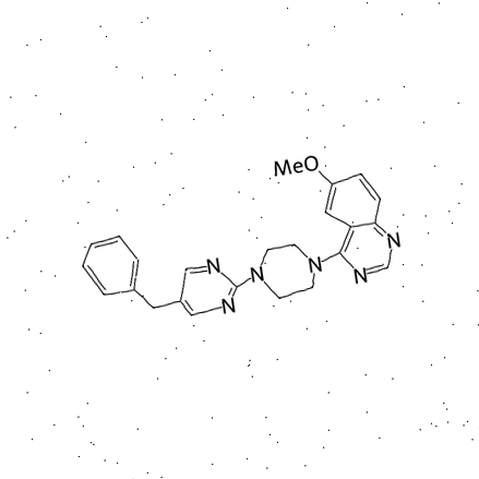 COc1ccc2ncnc(N3CCN(c4ncc(Cc5ccccc5)cn4)CC3)c2c1